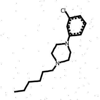 CCCCCCN1CCN(c2cccc(Cl)c2)CC1